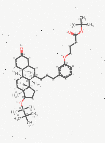 CC(C)(C)OC(=O)CCCOc1cccc(CCCC2CC3CC(=O)CC[C@]3(C)[C@@H]3CC[C@]4(C)C(O[Si](C)(C)C(C)(C)C)CC[C@H]4[C@H]23)c1